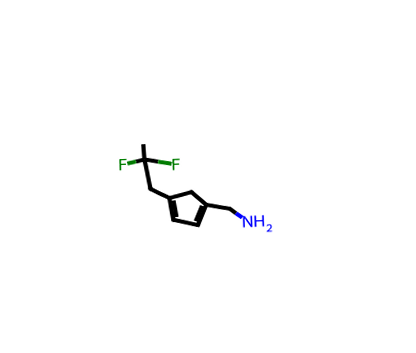 CC(F)(F)CC1=CC=C(CN)C1